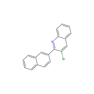 Brc1cc2ccccc2nc1-c1ccc2ccccc2c1